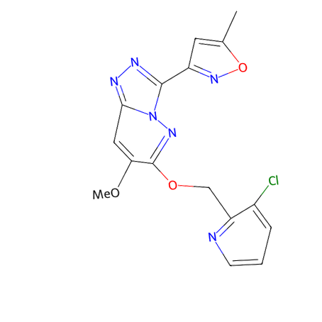 COc1cc2nnc(-c3cc(C)on3)n2nc1OCc1ncccc1Cl